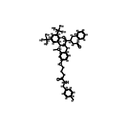 COc1cc(OCCCC(=O)NCc2ccc(C)cc2)ccc1CN(Cc1cc(C(F)(F)F)cc(C(F)(F)F)c1)C(=O)C(CC=O)Cc1ccccc1